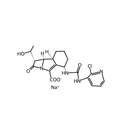 CC(O)[C@H]1C(=O)N2C(C(=O)[O-])=C3[C@@H](NC(=O)Nc4cccnc4Cl)CCC[C@@H]3[C@H]12.[Na+]